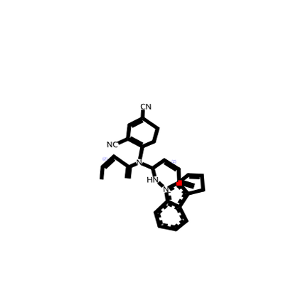 C=C/C=C\C(Nn1c2c(c3ccccc31)CC=C2)N(C(=C)/C=C\C)C1=C(C#N)C=C(C#N)CC1